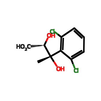 C[C@](O)(c1c(Cl)cccc1Cl)[C@@H](O)C(=O)O